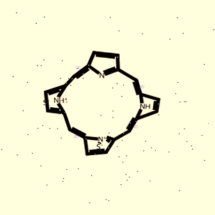 [S-][N+]1=C2C=C/C1=C/C1=CC=C(/C=C3/C=CC(=N3)/C=c3/cc/c([nH]3)=C/2)[NH+]1[S-]